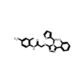 COc1ccccc1-c1nnc(SCC(=O)Nc2ccc([N+](=O)[O-])cc2C)n1Cc1ccco1